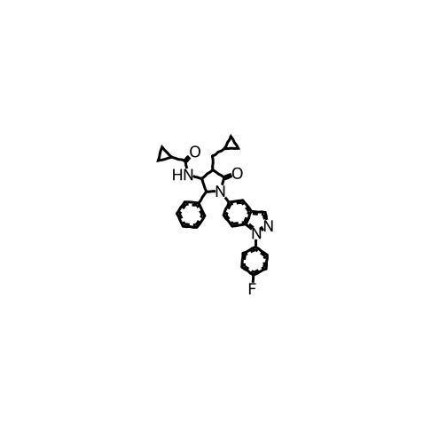 O=C(NC1C(CC2CC2)C(=O)N(c2ccc3c(cnn3-c3ccc(F)cc3)c2)C1c1ccccc1)C1CC1